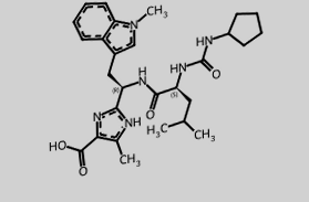 Cc1[nH]c([C@@H](Cc2cn(C)c3ccccc23)NC(=O)[C@H](CC(C)C)NC(=O)NC2CCCC2)nc1C(=O)O